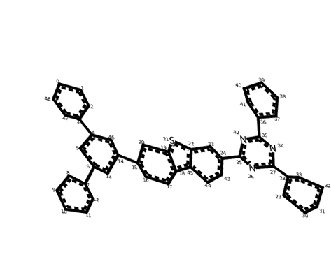 c1ccc(-c2cc(-c3ccccc3)cc(-c3ccc4c(c3)sc3cc(-c5nc(-c6ccccc6)nc(-c6ccccc6)n5)ccc34)c2)cc1